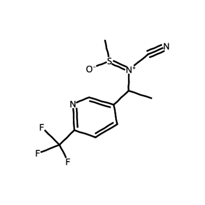 CC(c1ccc(C(F)(F)F)nc1)[N+](C#N)=S(C)[O-]